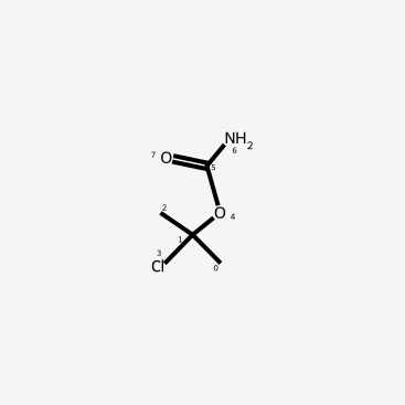 CC(C)(Cl)OC(N)=O